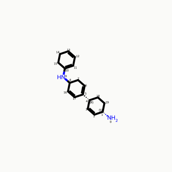 N[C@@H]1C=C[C@H](C2=CCC(NC3=CC=CCC3)C=C2)CC1